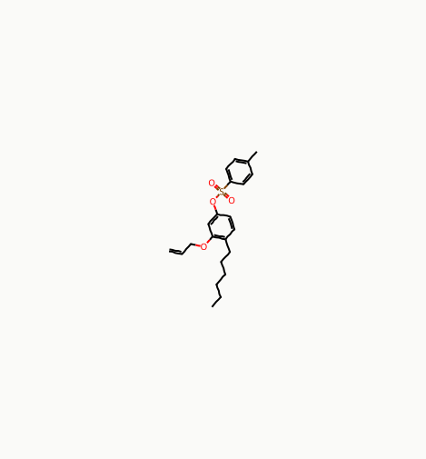 C=CCOc1cc(OS(=O)(=O)c2ccc(C)cc2)ccc1CCCCCC